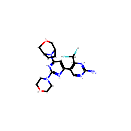 Nc1ncc(-c2cc(N3C4CCC3COC4)nc(N3CCOCC3)n2)c(C(F)F)n1